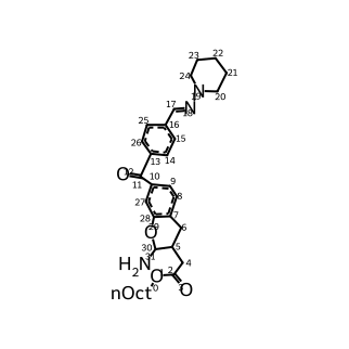 CCCCCCCCOC(=O)CC1Cc2ccc(C(=O)c3ccc(C=NN4CCCCC4)cc3)cc2OC1N